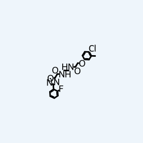 Cc1cc(OCC(=O)NCCNC(=O)c2nc(-c3ccccc3F)no2)ccc1Cl